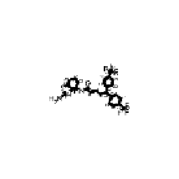 Nc1nc2c(NC(=O)C=CC=C(c3ccc(C(F)(F)F)cc3)c3ccc(C(F)(F)F)cc3)cccc2s1